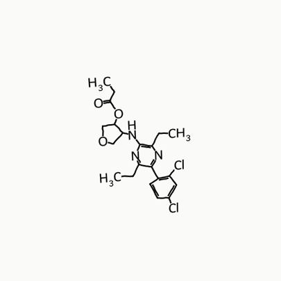 CCC(=O)OC1COCC1Nc1nc(CC)c(-c2ccc(Cl)cc2Cl)nc1CC